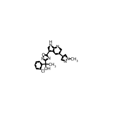 Cn1cc(-c2cnc3[nH]cc(-c4nc(C(C)(O)c5ccccc5Cl)no4)c3c2)cn1